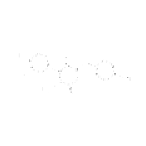 CCn1c(Oc2ccc(C#N)cc2F)cc(=O)c(C(=O)O)c1-c1ccc(Cl)c(Cl)c1